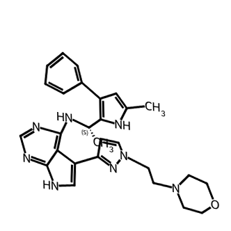 Cc1cc(-c2ccccc2)c([C@H](C)Nc2ncnc3[nH]cc(-c4ccn(CCN5CCOCC5)n4)c23)[nH]1